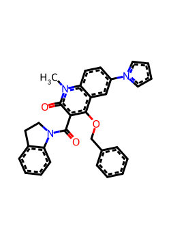 Cn1c(=O)c(C(=O)N2CCc3ccccc32)c(OCc2ccccc2)c2cc(-n3cccc3)ccc21